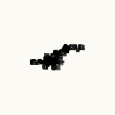 CCOC(=O)[C@H]1C[C@H](CNC(=O)N[C@@](C)(c2ccc(CCC(C)(C)C)c(Cl)c2)C(CO)C(C)C)C1